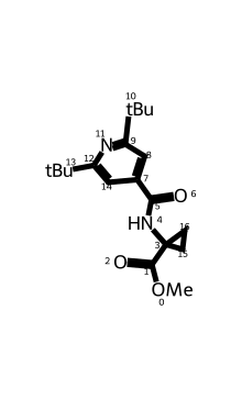 COC(=O)C1(NC(=O)c2cc(C(C)(C)C)nc(C(C)(C)C)c2)CC1